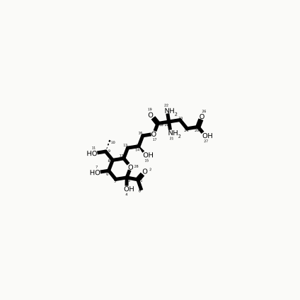 CC(=O)C1(O)CC(O)C([C@@H](C)O)C(C[C@H](O)COC(=O)C(N)(N)CCC(=O)O)O1